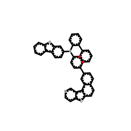 c1ccc(-c2ccccc2N(c2ccc(-c3ccc4ccc5oc6ccncc6c5c4c3)cc2)c2ccc3c(c2)oc2ccccc23)cc1